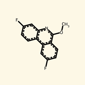 COc1nc2cc(F)ccc2c2cc(F)ccc12